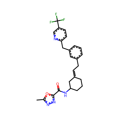 Cc1nnc(C(=O)NC2CCCC(=CCc3cccc(Cc4ccc(C(F)(F)F)cn4)c3)C2)o1